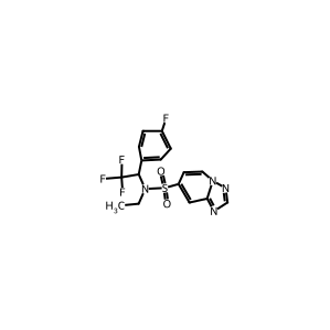 CCN(C(c1ccc(F)cc1)C(F)(F)F)S(=O)(=O)c1ccn2ncnc2c1